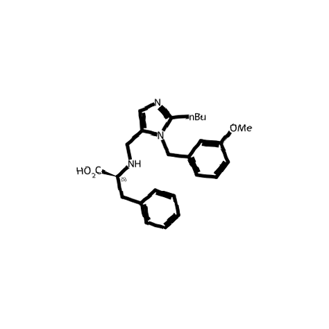 CCCCc1ncc(CN[C@@H](Cc2ccccc2)C(=O)O)n1Cc1cccc(OC)c1